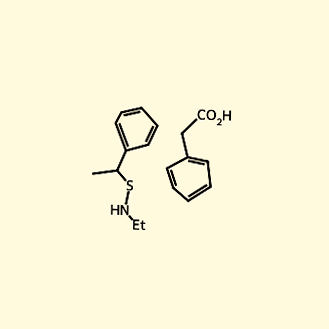 CCNSC(C)c1ccccc1.O=C(O)Cc1ccccc1